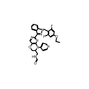 CCOc1cc(F)c(Cn2nc(-c3ncc4c(n3)N(c3ccncc3)C(CNC=O)CO4)c3ccccc32)c(F)c1